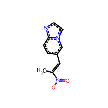 C/C(=C\c1ccc2nccn2c1)[N+](=O)[O-]